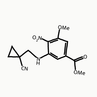 COC(=O)c1cc(NCC2(C#N)CC2)c([N+](=O)[O-])c(OC)c1